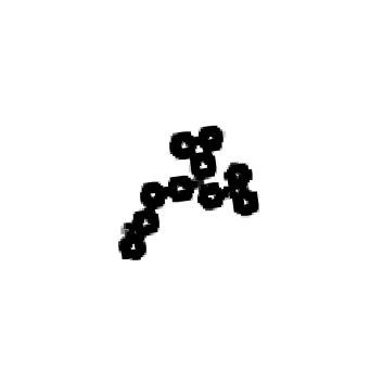 c1cc(-c2ccc(N(c3cccc(-n4c5ccccc5c5ccccc54)c3)c3ccc4c5ccccc5c5ccccc5c4c3)cc2)cc(-c2ccc3c(c2)oc2ccccc23)c1